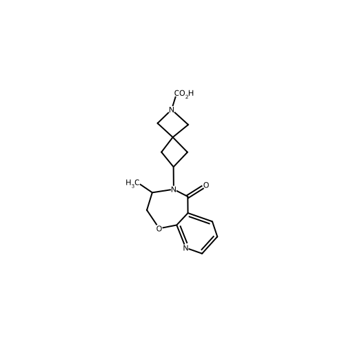 CC1COc2ncccc2C(=O)N1C1CC2(C1)CN(C(=O)O)C2